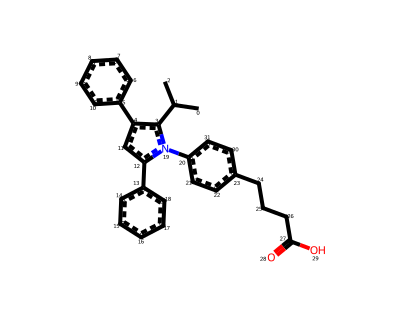 CC(C)c1c(-c2ccccc2)cc(-c2ccccc2)n1-c1ccc(CCCC(=O)O)cc1